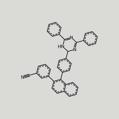 N#Cc1cccc(-c2ccc3ccccc3c2-c2ccc(C3N=C(c4ccccc4)N=C(c4ccccc4)N3)cc2)c1